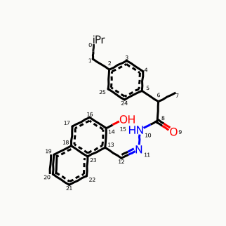 CC(C)Cc1ccc(C(C)C(=O)N/N=C\c2c(O)ccc3c#cccc23)cc1